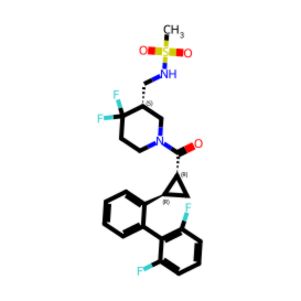 CS(=O)(=O)NC[C@@H]1CN(C(=O)[C@@H]2C[C@H]2c2ccccc2-c2c(F)cccc2F)CCC1(F)F